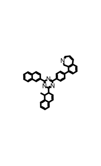 CC1c2ccccc2C=CC1c1nc(-c2ccc(-c3cccc4c3CN=CC=C4)cc2)nc(-c2ccc3ccccc3c2)n1